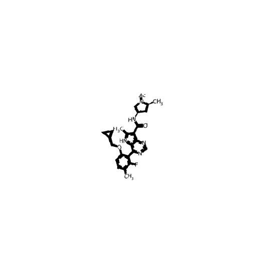 CC(=O)N1C[C@H](NC(=O)c2c(C)[nH]c3c(-c4c(OCC5CC5)ccc(C)c4F)ncnc23)C[C@@H]1C